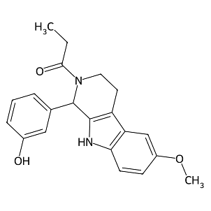 CCC(=O)N1CCc2c([nH]c3ccc(OC)cc23)C1c1cccc(O)c1